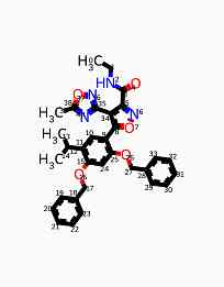 CCNC(=O)c1noc(-c2cc(C(C)C)c(OCc3ccccc3)cc2OCc2ccccc2)c1-c1noc(C)n1